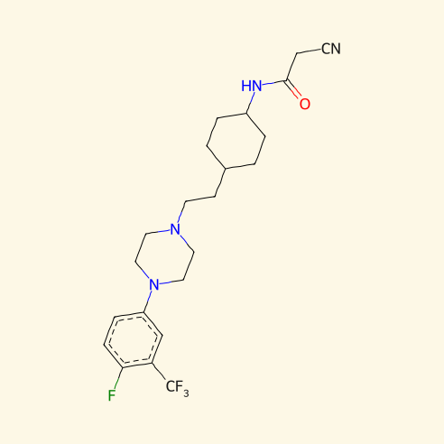 N#CCC(=O)NC1CCC(CCN2CCN(c3ccc(F)c(C(F)(F)F)c3)CC2)CC1